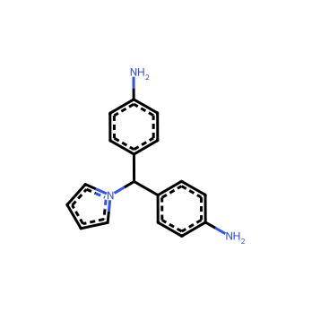 Nc1ccc(C(c2ccc(N)cc2)n2cccc2)cc1